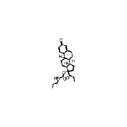 CCCNC(=O)O[C@]1(C(=O)CC)CC[C@H]2[C@@H]3CCC4=CC(=O)C=C[C@]4(C)[C@H]3CC[C@@]21C